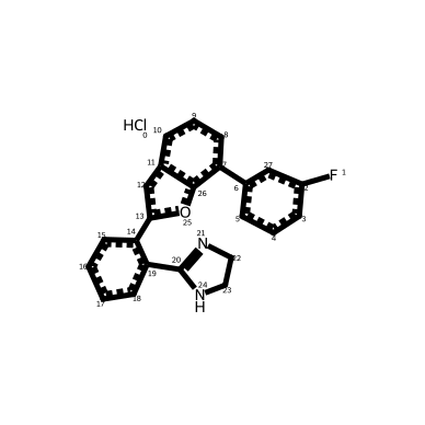 Cl.Fc1cccc(-c2cccc3cc(-c4ccccc4C4=NCCN4)oc23)c1